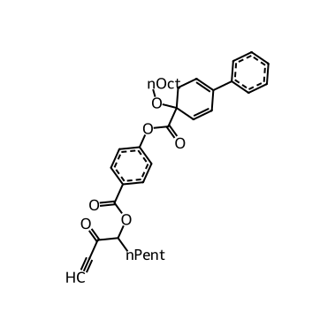 C#CC(=O)C(CCCCC)OC(=O)c1ccc(OC(=O)C2(OCCCCCCCC)C=CC(c3ccccc3)=CC2)cc1